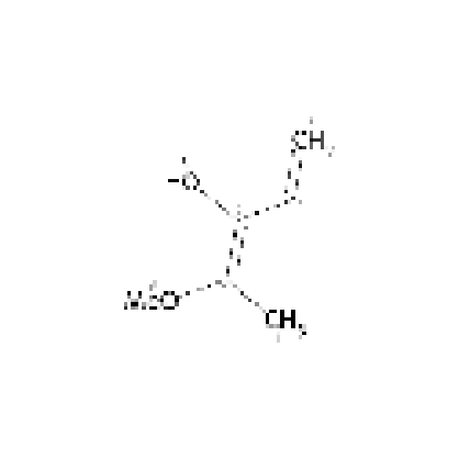 C=C/C(O)=C(\C)OC